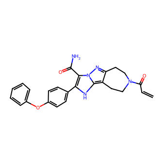 C=CC(=O)N1CCc2nn3c(C(N)=O)c(-c4ccc(Oc5ccccc5)cc4)[nH]c3c2CC1